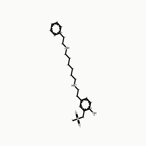 CS(=O)(=O)Cc1cc(CCNCCCCCCNCCc2ccccc2)ccc1O